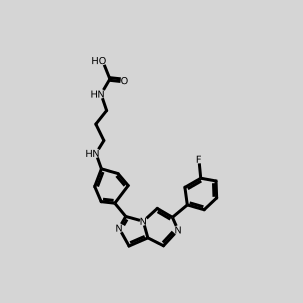 O=C(O)NCCCNc1ccc(-c2ncc3cnc(-c4cccc(F)c4)cn23)cc1